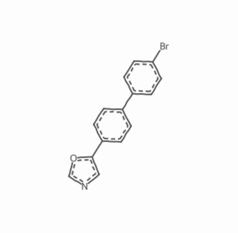 Brc1ccc(-c2ccc(-c3cnco3)cc2)cc1